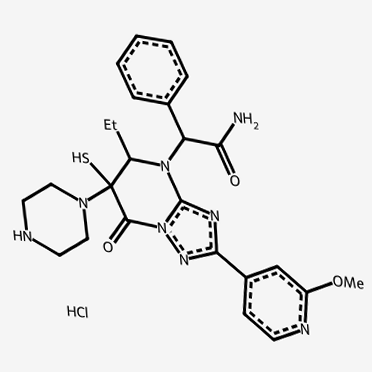 CCC1N(C(C(N)=O)c2ccccc2)c2nc(-c3ccnc(OC)c3)nn2C(=O)C1(S)N1CCNCC1.Cl